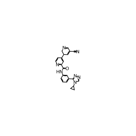 N#CC1=CC(c2ccnc(C(=O)Nc3cccc(-c4nncn4C4CC4)c3)c2)CN=C1